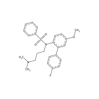 COc1ccc(N(CCCN(C)C)S(=O)(=O)c2ccccc2)c(-c2ccc(F)cc2)c1